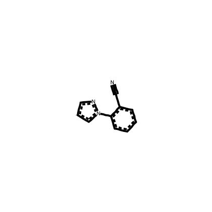 N#Cc1ccccc1-n1c[c]cn1